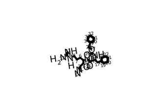 [N-]=[N+]=CC(=O)C(CCCNC(=N)N)NC(=O)C(Cc1ccccc1)NC(=O)OCc1ccccc1